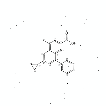 Cc1cc(C(=O)O)nc2c(-c3ccccc3)cc(C3CC3)cc12